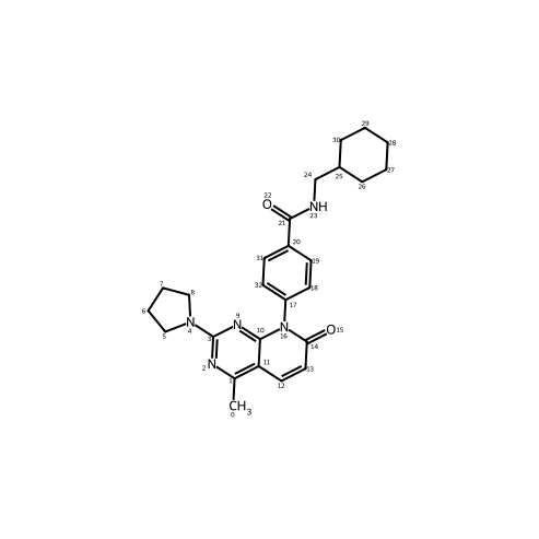 Cc1nc(N2CCCC2)nc2c1ccc(=O)n2-c1ccc(C(=O)NCC2CCCCC2)cc1